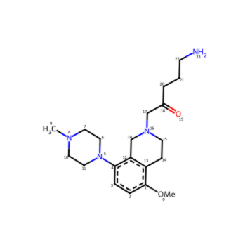 COc1ccc(N2CCN(C)CC2)c2c1CCN(CC(=O)CCCN)C2